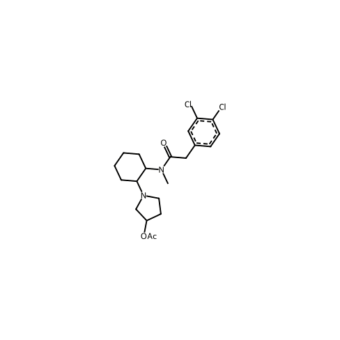 CC(=O)OC1CCN(C2CCCCC2N(C)C(=O)Cc2ccc(Cl)c(Cl)c2)C1